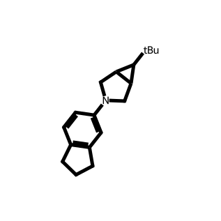 CC(C)(C)C1C2CN(c3ccc4c(c3)CCC4)CC21